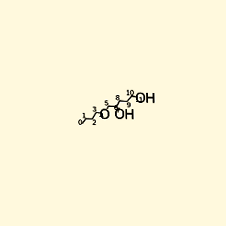 CCCCOC[C@@H](O)CCCO